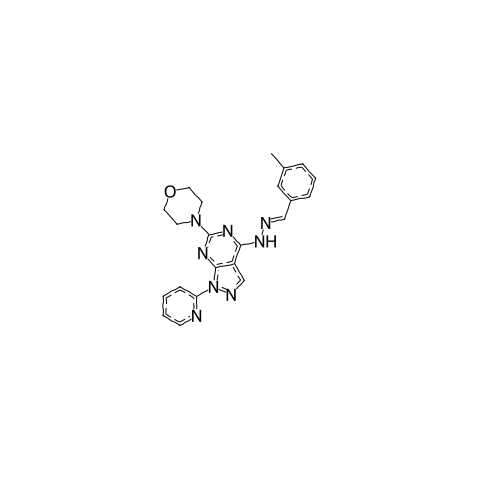 Cc1cccc(/C=N/Nc2nc(N3CCOCC3)nc3c2cnn3-c2ccccn2)c1